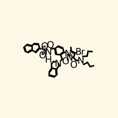 CCCCN(CCCC)C(=O)c1nn(-c2ccc(C(=O)NS(=O)(=O)c3ccc4ccccc4c3)cc2C(=O)N2CCc3ccccc3C2)c(C)c1Br